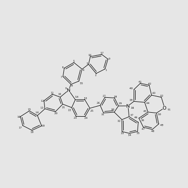 c1ccc(-c2cccc(-n3c4ccc(-c5ccccc5)cc4c4ccc(-c5ccc6c(c5)c5ccccc5n6-c5cccc6c5-c5ccccc5OC6)cc43)c2)cc1